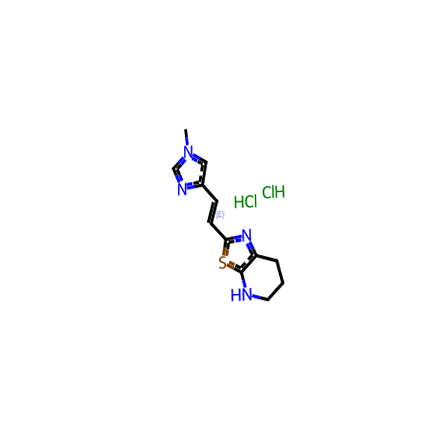 Cl.Cl.Cn1cnc(/C=C/c2nc3c(s2)NCCC3)c1